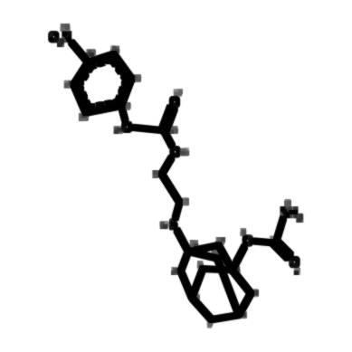 NC(=O)OC12CC3CC(C1)CC(SCCOC(=O)Oc1ccc([N+](=O)[O-])cc1)(C3)C2